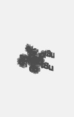 CC(C)(C)c1ccc2c(c1)c1cc(C(C)(C)C)cc3c1n2B1c2cc4sc5ccccc5c4cc2N(c2ccc4sc5ccccc5c4c2)c2cc4oc5ccccc5c4c-3c21